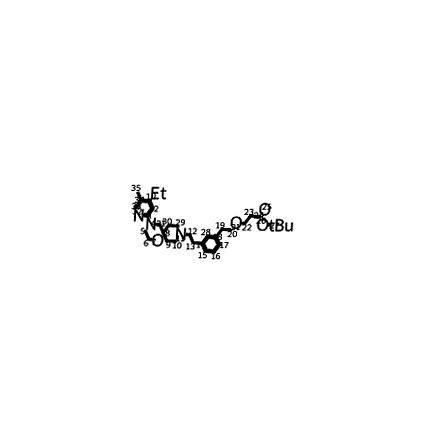 CCc1cc(N2CCOC3(CCN(CCc4cccc(CCOCCC(=O)OC(C)(C)C)c4)CC3)C2)ncc1C